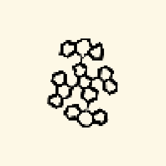 c1ccc2c(c1)CCc1ccccc1N2c1ccc2c(-c3cc4ccccc4c4ccccc34)c3cc(N4c5ccccc5CCc5ccccc54)ccc3c(-c3cccc4ccccc34)c2c1